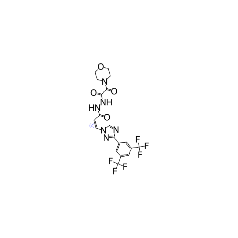 O=C(/C=C\n1cnc(-c2cc(C(F)(F)F)cc(C(F)(F)F)c2)n1)NNC(=O)C(=O)N1CCOCC1